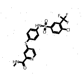 CNC(=O)c1cc(Sc2ccc(NS(=O)(=O)c3ccc(Cl)c(C(F)(F)F)c3)cc2)ccn1